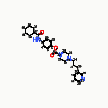 O=C(Nc1ccc(OC(=O)N2CCN(CCCc3cccnc3)CC2)cc1)C1CCCCC1